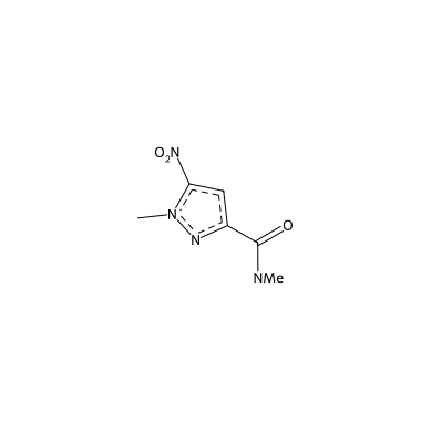 CNC(=O)c1cc([N+](=O)[O-])n(C)n1